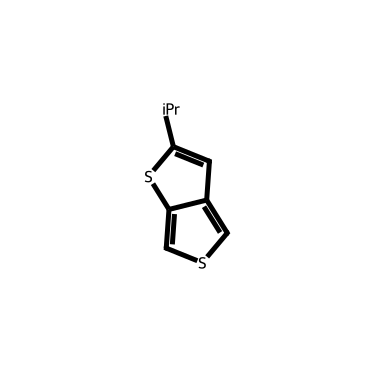 CC(C)c1cc2cscc2s1